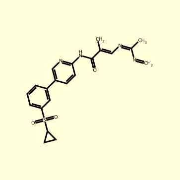 C=N/C(C)=N\C=C(/C)C(=O)Nc1ccc(-c2cccc(S(=O)(=O)C3CC3)c2)cn1